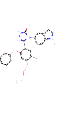 CCOCOc1cc(Oc2ccccc2)c(-c2n[nH]c(=O)n2-c2ccc3c(ccn3C)c2)cc1C(C)C